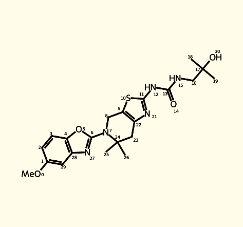 COc1ccc2oc(N3Cc4sc(NC(=O)NCC(C)(C)O)nc4CC3(C)C)nc2c1